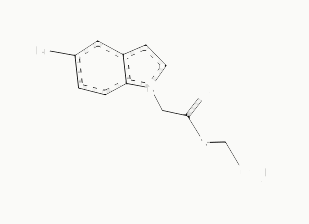 O=C(O)CNC(=O)Cn1ccc2cc(Br)ccc21